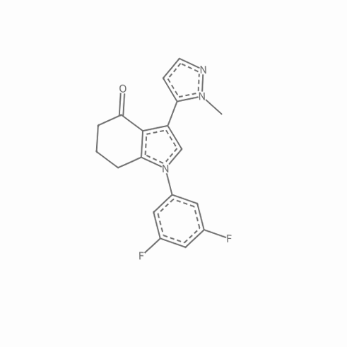 Cn1nccc1-c1cn(-c2cc(F)cc(F)c2)c2c1C(=O)CCC2